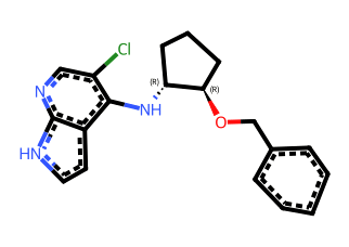 Clc1cnc2[nH]ccc2c1N[C@@H]1CCC[C@H]1OCc1ccccc1